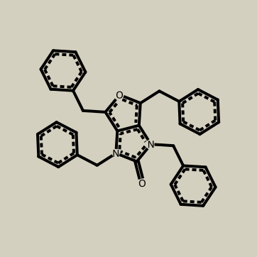 O=c1n(Cc2ccccc2)c2c(Cc3ccccc3)oc(Cc3ccccc3)c2n1Cc1ccccc1